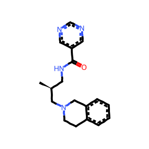 C[C@@H](CNC(=O)c1cncnc1)CN1CCc2ccccc2C1